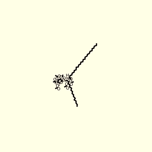 CCCCCCCCCCCCCCCCCCCCCCCCCC(=O)NC(CO[C@H]1O[C@H](COC(C)=O)[C@H](OC(C)=O)[C@H](OC(C)=O)[C@H]1OC(C)=O)C(OC(C)=O)C(CCCCCCCCCCCCCC)OC(C)=O